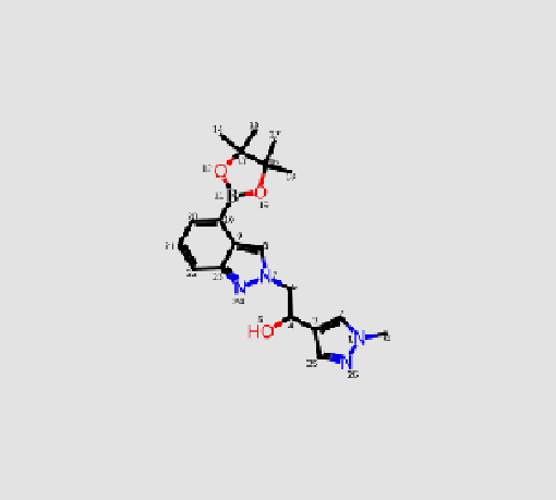 Cn1cc(C(O)Cn2cc3c(B4OC(C)(C)C(C)(C)O4)cccc3n2)cn1